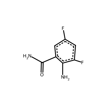 NC(=O)c1cc(F)cc(F)c1N